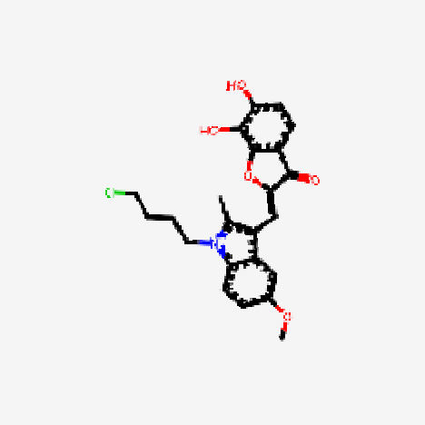 COc1ccc2c(c1)c(/C=C1\Oc3c(ccc(O)c3O)C1=O)c(C)n2CCCCCl